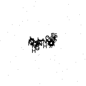 O=C(NCc1cc2c3cccnc3[nH]c(=O)n2n1)c1ccccc1OC(F)(F)F